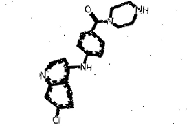 O=C(c1ccc(Nc2ccnc3cc(Cl)ccc23)cc1)N1CCNCC1